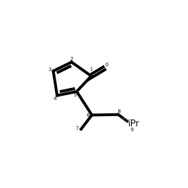 C=C1C=CC=C1C(C)CC(C)C